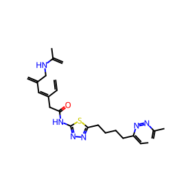 C=C/C(=C\C(=C)CNC(=C)C)CC(=O)Nc1nnc(CCCCC(=C/C)/N=N\C(=C)C)s1